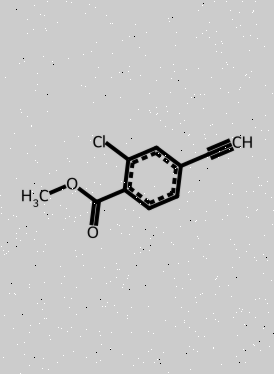 C#Cc1ccc(C(=O)OC)c(Cl)c1